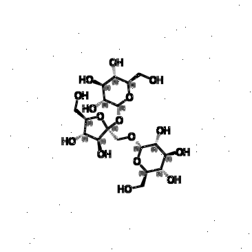 OC[C@H]1O[C@@](CO[C@H]2O[C@H](CO)[C@@H](O)[C@H](O)[C@H]2O)(O[C@H]2O[C@H](CO)[C@@H](O)[C@H](O)[C@H]2O)[C@@H](O)[C@@H]1O